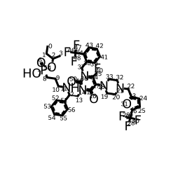 CCC(C)OP(=O)(O)CCCN[C@@H](Cn1c(=O)c(N2CCN(Cc3ccc(C(F)(F)F)o3)CC2)c(C)n(Cc2c(F)cccc2C(F)(F)F)c1=O)c1ccccc1